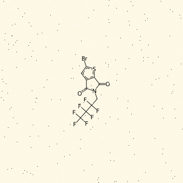 O=C1c2cc(Br)sc2C(=O)N1CC(F)(F)C(F)(F)C(F)(F)F